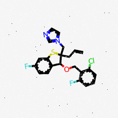 C=CCC1(Cn2ccnc2)Sc2cc(F)ccc2C1OCc1c(F)cccc1Cl